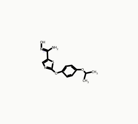 CC(C)Oc1ccc(Oc2ncc(/C(N)=N/O)s2)cc1